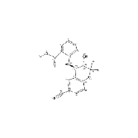 COC(=O)c1ccccc1N[C@@H]1c2cc(C#N)ccc2OC(C)(C)[C@H]1O